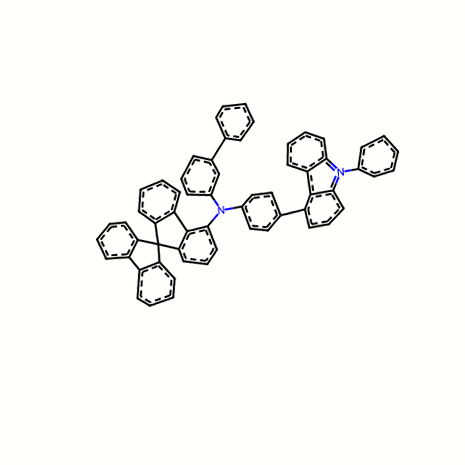 c1ccc(-c2cccc(N(c3ccc(-c4cccc5c4c4ccccc4n5-c4ccccc4)cc3)c3cccc4c3-c3ccccc3C43c4ccccc4-c4ccccc43)c2)cc1